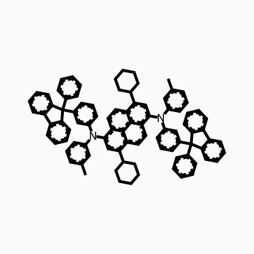 Cc1cccc(N(c2cccc(C3(c4ccccc4)c4ccccc4-c4ccccc43)c2)c2cc(C3CCCCC3)c3ccc4c(N(c5cccc(C)c5)c5cccc(C6(c7ccccc7)c7ccccc7-c7ccccc76)c5)cc(C5CCCCC5)c5ccc2c3c54)c1